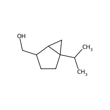 CC(C)C12CCC(CO)C1C2